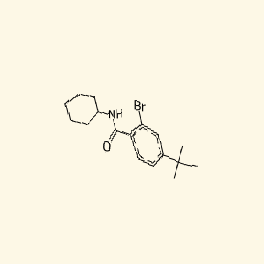 CC(C)(C)c1ccc(C(=O)NC2CCCCC2)c(Br)c1